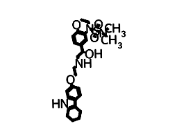 CN(C)S(=O)(=O)N1CCOc2ccc([C@@H](O)CNCCOc3ccc4c5c([nH]c4c3)CCCC5)cc21